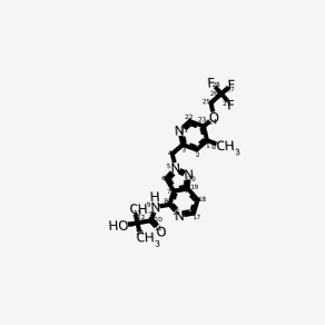 Cc1cc(Cn2cc3c(NC(=O)C(C)(C)O)nccc3n2)ncc1OCC(F)(F)F